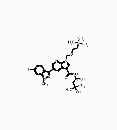 C[C@@H](CC(C)(C)O)NC(=O)c1cn(COCC[Si](C)(C)C)c2ncc(-c3nn(C)c4cc(F)ccc34)nc12